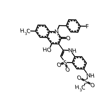 Cc1ccc2c(c1)c(O)c(C1=CS(=O)(=O)c3cc(NS(C)(=O)=O)ccc3N1)c(=O)n2Cc1ccc(F)cc1